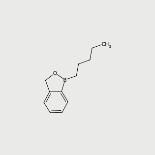 CCCCCB1OCc2ccccc21